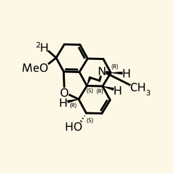 [2H]C1(OC)CC=C2C[C@@H]3[C@@H]4C=C[C@H](O)[C@@H]5OC1=C2[C@]45CCN3C